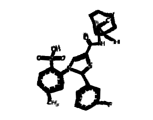 Cc1ccc(S(=O)(=O)O)c(N2C=C(C(=O)N[C@H]3CN4CCC3CC4)SC2c2cccc(F)c2)c1